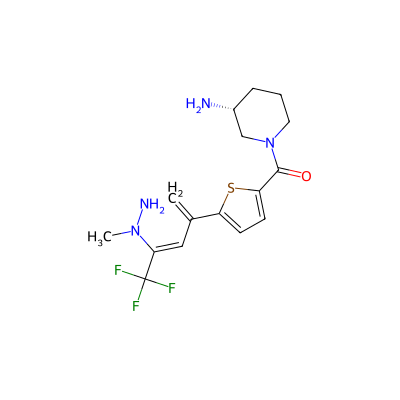 C=C(/C=C(\N(C)N)C(F)(F)F)c1ccc(C(=O)N2CCC[C@@H](N)C2)s1